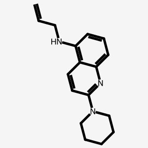 C=CCNc1cccc2nc(N3CCCCC3)ccc12